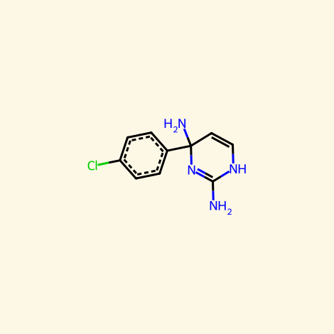 NC1=NC(N)(c2ccc(Cl)cc2)C=CN1